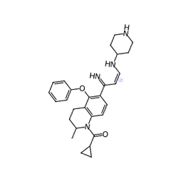 CC1CCc2c(ccc(C(=N)/C=C\NC3CCNCC3)c2Oc2ccccc2)N1C(=O)C1CC1